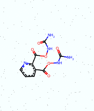 NC(=O)NOC(=O)c1cccnc1C(=O)ONC(N)=O